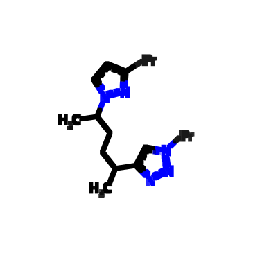 CC(C)c1ccn(C(C)CCC(C)c2cn(C(C)C)nn2)n1